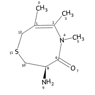 C/C1=C(\C)N(C)C(=O)[C@@H](N)CSC1